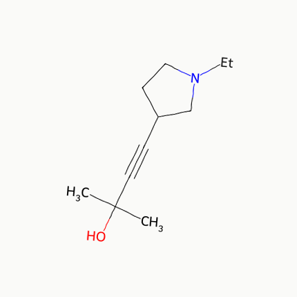 CCN1CCC(C#CC(C)(C)O)C1